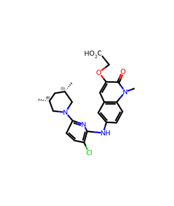 C[C@@H]1C[C@H](C)CN(c2ccc(Cl)c(Nc3ccc4c(c3)cc(OCC(=O)O)c(=O)n4C)n2)C1